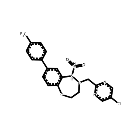 O=[SH](=O)[SH]1c2cc(-c3ccc(C(F)(F)F)cc3)ccc2OCCN1Cc1ncc(Cl)cn1